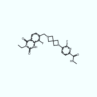 CCn1c(=O)[nH]c2c(F)c(CN3CC4(C3)CN(c3ccc(C(=O)NC)nc3F)C4)ccc2c1=O